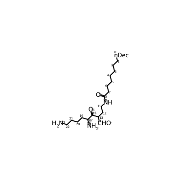 CCCCCCCCCCCCCCCCCC(=O)NCCC([C]=O)C(=O)[C@@H](N)CCCCN